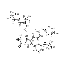 CN1CCN(Cc2ccc(-c3c(-c4cccc(OC(F)(F)F)c4)cc4n3[C@@H](CCCN(C(=O)OC(=O)C(F)(F)F)C(C)(C)C)CNC4=O)cc2)CC1